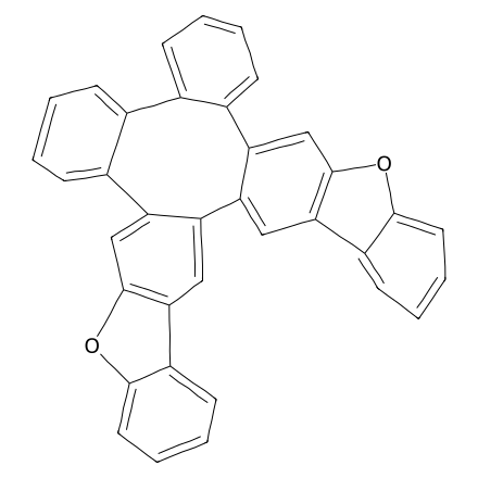 c1ccc2c(c1)-c1ccccc1-c1cc3oc4ccccc4c3cc1-c1cc3c(cc1-2)oc1ccccc13